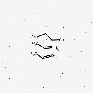 C=CC.C=CC.CC(=O)OCCO